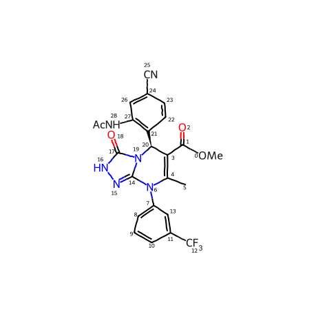 COC(=O)C1=C(C)N(c2cccc(C(F)(F)F)c2)c2n[nH]c(=O)n2[C@H]1c1ccc(C#N)cc1NC(C)=O